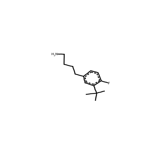 CC(C)(C)c1cc(CCCCN)ccc1F